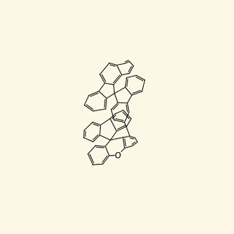 c1ccc2c(c1)Oc1cccc(-c3ccc4c(c3)-c3ccccc3C43c4ccccc4-c4ccc5ccccc5c43)c1C21c2ccccc2-c2ccccc21